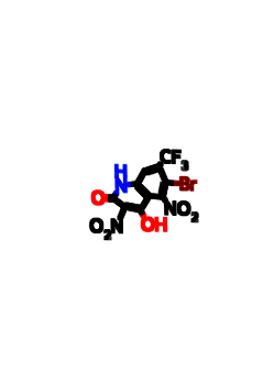 O=c1[nH]c2cc(C(F)(F)F)c(Br)c([N+](=O)[O-])c2c(O)c1[N+](=O)[O-]